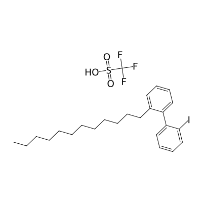 CCCCCCCCCCCCc1ccccc1-c1ccccc1I.O=S(=O)(O)C(F)(F)F